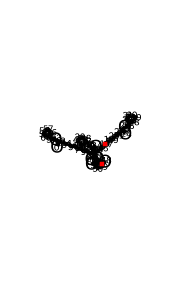 O=C(CCCCCCCCCCC(CCCCCCCCCCC(=O)OCc1ccccc1)(C(=O)OCc1ccccc1)C(=O)ON1C(=O)CCC1=O)OCc1ccccc1